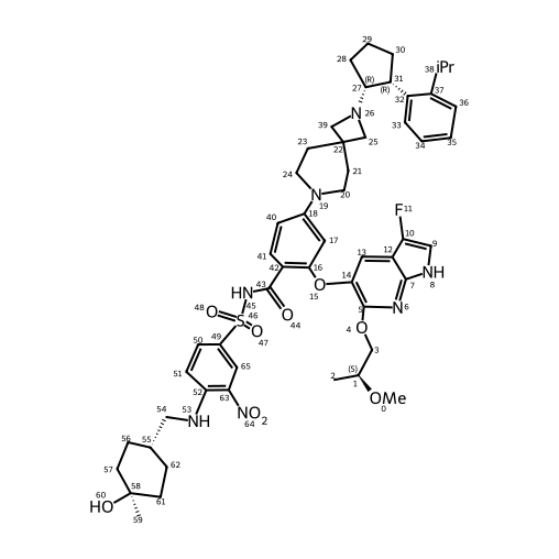 CO[C@@H](C)COc1nc2[nH]cc(F)c2cc1Oc1cc(N2CCC3(CC2)CN([C@@H]2CCC[C@@H]2c2ccccc2C(C)C)C3)ccc1C(=O)NS(=O)(=O)c1ccc(NC[C@H]2CC[C@](C)(O)CC2)c([N+](=O)[O-])c1